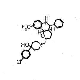 OC1(c2ccc(Cl)cc2)CCN(C[C@H]2CC[C@@H]3[C@H](O2)c2cc(C(F)(F)F)ccc2N[C@H]3C2C=CC=CC2)CC1